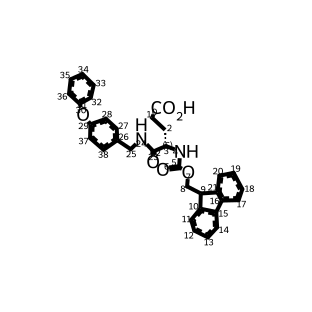 O=C(O)CC[C@H](NC(=O)OCC1c2ccccc2-c2ccccc21)C(=O)NCc1ccc(Oc2ccccc2)cc1